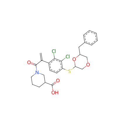 C=C(C(=O)N1CCCC(C(=O)O)C1)c1ccc(SC2COCC(Cc3ccccc3)O2)c(Cl)c1Cl